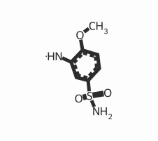 COc1ccc(S(N)(=O)=O)cc1[NH]